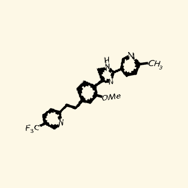 COc1cc(CCc2ccc(C(F)(F)F)cn2)ccc1-c1c[nH]c(-c2ccc(C)nc2)n1